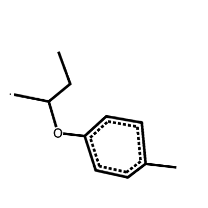 [CH2]C(CC)Oc1ccc(C)cc1